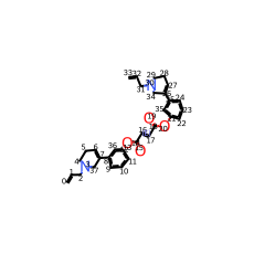 C=CCN1CCC=C(c2cccc(OC(=O)/C=C/C(=O)Oc3cccc(C4=CCCN(CC=C)C4)c3)c2)C1